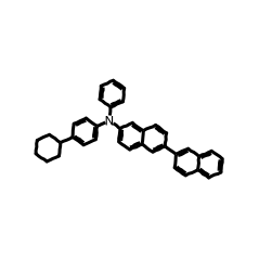 c1ccc(N(c2ccc(C3CCCCC3)cc2)c2ccc3cc(-c4ccc5ccccc5c4)ccc3c2)cc1